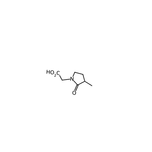 CC1CCN(CC(=O)O)C1=O